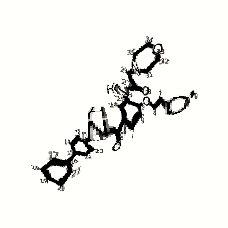 COCCOc1ccc(C(=O)Nc2ccc(-c3ccccc3)cc2)cc1NC(=O)CN1CCOCC1